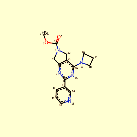 CC(C)(C)OC(=O)N1Cc2nc(-c3cccnc3)nc(N3CCC3)c2C1